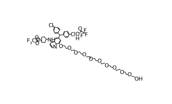 O=C(O)C(F)(F)F.O=S(=O)(N1CCC(Nc2ccnc3c(OCCOCCOCCOCCOCCOCCOCCOCCOCCOCCO)cc(C(c4ccc(Cl)cc4)c4ccc(Cl)cc4)cc23)CC1)C(F)(F)F